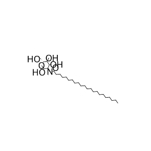 CCCCCCCCCCCCCCCCCCCCCC(=O)N(C)[C@H]1C(O)O[C@H](CO)[C@@H](O)[C@@H]1O